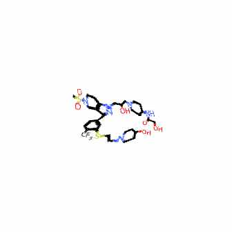 CS(=O)(=O)N1CCc2c(c(-c3ccc(C(F)(F)F)c(SCCN4CCC(O)CC4)c3)nn2CC(O)CN2CCC(NC(=O)CO)CC2)C1